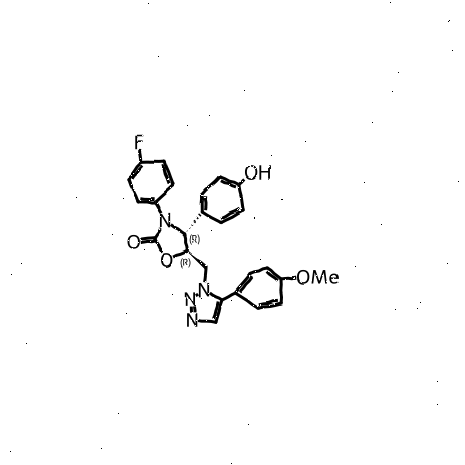 COc1ccc(-c2cnnn2C[C@H]2OC(=O)N(c3ccc(F)cc3)[C@@H]2c2ccc(O)cc2)cc1